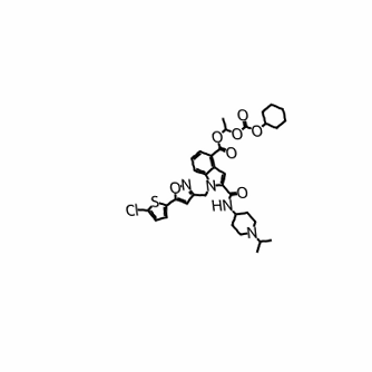 CC(OC(=O)OC1CCCCC1)OC(=O)c1cccc2c1cc(C(=O)NC1CCN(C(C)C)CC1)n2Cc1cc(-c2ccc(Cl)s2)on1